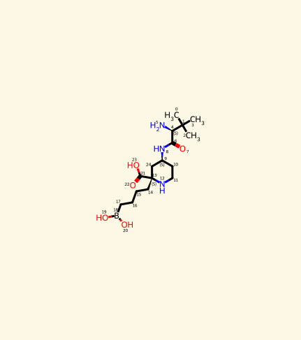 CC(C)(C)[C@H](N)C(=O)N[C@H]1CCN[C@](CCCCB(O)O)(C(=O)O)C1